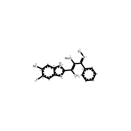 CC/N=C(\C(OC)=C(/C)c1nc2cc(F)c(C#N)cc2[nH]1)c1ccccc1